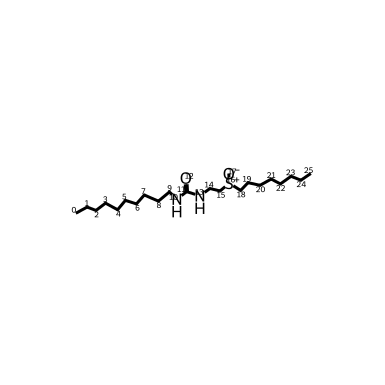 CCCCCCCCCCNC(=O)NCC[S+]([O-])CCCCCCCC